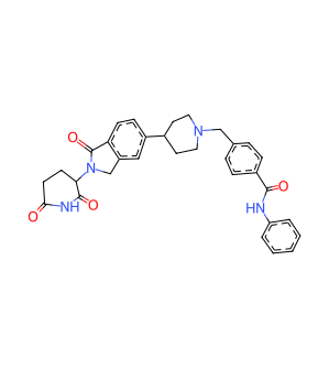 O=C1CCC(N2Cc3cc(C4CCN(Cc5ccc(C(=O)Nc6ccccc6)cc5)CC4)ccc3C2=O)C(=O)N1